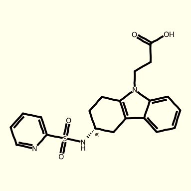 O=C(O)CCn1c2c(c3ccccc31)C[C@H](NS(=O)(=O)c1ccccn1)CC2